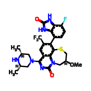 CO[C@@H]1CSc2c(-c3ccc(F)c4[nH]c(=O)[nH]c34)c(C(F)(F)F)cc3c(N4C[C@@H](C)N[C@@H](C)C4)nc(=O)n(c23)C1